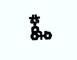 CC(Cc1cccc(B2OC(C)(C)C(C)(C)O2)c1)(c1ccccc1)c1ccccn1